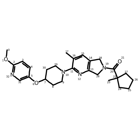 COc1ccc(OC2CCN(c3nc4c(cc3C)CN(C(=O)C3(C)CCCC3)C4)CC2)cn1